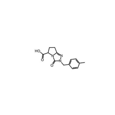 Cc1ccc(Cn2nc3n(c2=O)C(C(=O)O)CC3)cc1